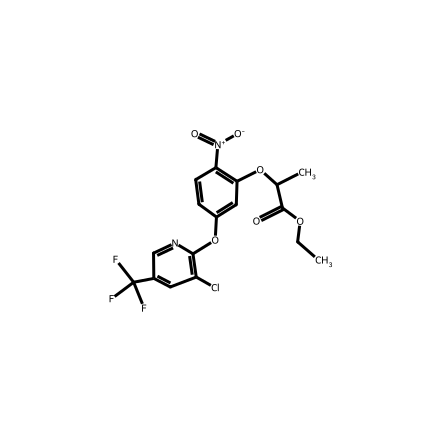 CCOC(=O)C(C)Oc1cc(Oc2ncc(C(F)(F)F)cc2Cl)ccc1[N+](=O)[O-]